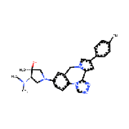 CN(C)[C@H]1CN(c2ccc3c(c2)Cn2cc(-c4ccc(C#N)cc4)cc2-c2nncn2-3)C[C@]1(C)O